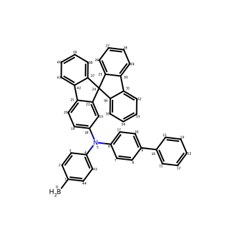 Bc1ccc(N(c2ccc(-c3ccccc3)cc2)c2ccc3c(c2)C2(c4ccccc4-c4ccccc42)c2ccccc2-3)cc1